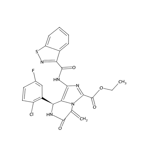 C=C1C(=O)N[C@@H](c2cc(F)ccc2Cl)c2c(NC(=O)c3nsc4ccccc34)nc(C(=O)OCC)n21